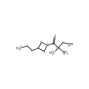 CCCC1CN(C(=O)C(C)(N)CO)C1